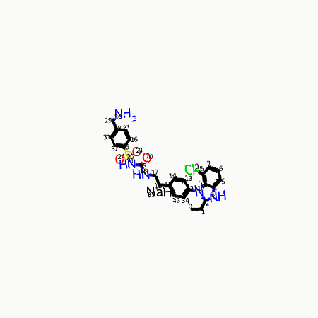 CCC1Nc2cccc(Cl)c2N1c1ccc(CCNC(=O)NS(=O)(=O)c2ccc(CN)cc2)cc1.[NaH]